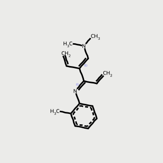 C=CC(=C\N(C)C)/C(C=C)=N/c1ccccc1C